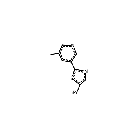 Cc1cncc(-c2ncc(C(C)C)s2)c1